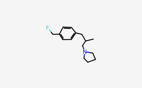 CC(Cc1ccc(CF)cc1)CN1CCCC1